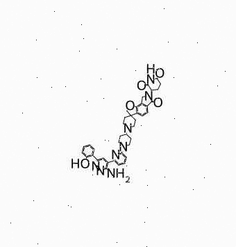 Nc1nnc(-c2ccccc2O)cc1-c1cccc(N2CCC(N3CCC4(CC3)COc3c4ccc4c3CN(C3CCC(=O)NC3=O)C4=O)CC2)n1